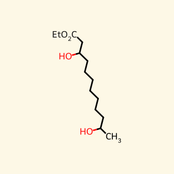 CCOC(=O)CC(O)CCCCCCCC(C)O